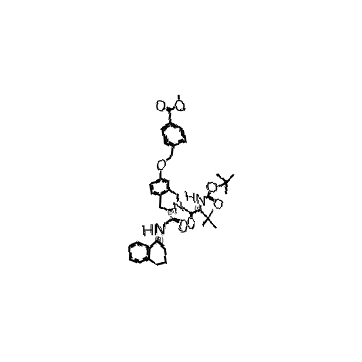 COC(=O)c1ccc(COc2ccc3c(c2)CN(C(=O)[C@@H](NC(=O)OC(C)(C)C)C(C)(C)C)[C@H](C(=O)N[C@@H]2CCCc4ccccc42)C3)cc1